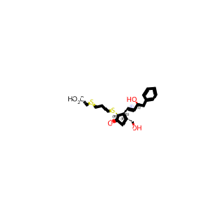 O=C(O)CSCCCS[C@H]1C(=O)C[C@@H](CO)[C@@H]1/C=C/[C@@H](O)Cc1ccccc1